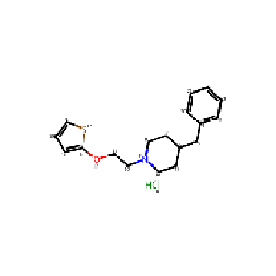 Cl.c1ccc(CC2CCN(CCOc3cccs3)CC2)cc1